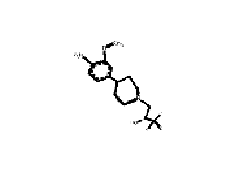 COc1cc(C2CCN(C[C@H](O)C(F)(F)F)CC2)ccc1N